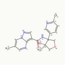 Cc1cnc2c(C(=O)NC3(c4ccc(C(F)(F)F)nc4)COCC3(C)O)cnn2c1